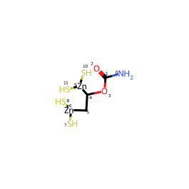 NC(=O)O[CH]([CH2][Zn]([SH])[SH])[Zn]([SH])[SH]